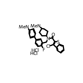 CNc1ccc(-c2ccc(F)c(CN(C(=O)c3sc4ccccc4c3Cl)C3CCC(NC)CC3)c2)cc1.Cl.Cl